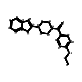 CCSc1ncc(C(=O)N2CCN(c3nc4ccccc4o3)CC2)cn1